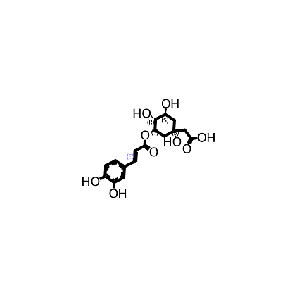 O=C(O)C[C@@]1(O)C[C@H](OC(=O)/C=C/c2ccc(O)c(O)c2)[C@H](O)[C@@H](O)C1